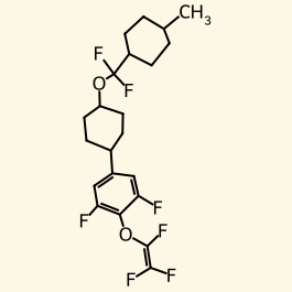 CC1CCC(C(F)(F)OC2CCC(c3cc(F)c(OC(F)=C(F)F)c(F)c3)CC2)CC1